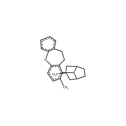 Cc1ccc2c(c1N1C3CCC1CN(C)C3)CCc1ccccc1O2